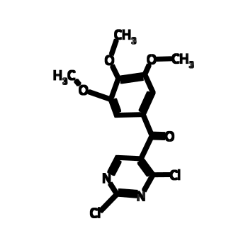 COc1cc(C(=O)c2cnc(Cl)nc2Cl)cc(OC)c1OC